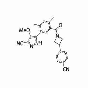 COc1c(C#N)n[nH]c1-c1cc(C(=O)N2CC(c3ccc(C#N)cc3)C2)c(C)cc1C